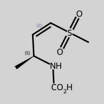 C[C@@H](/C=C\S(C)(=O)=O)NC(=O)O